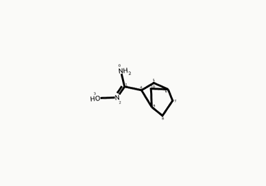 NC(=NO)C1CC2CCC1C2